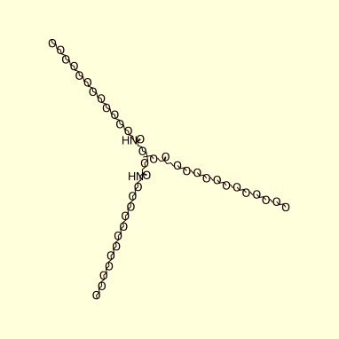 COCCOCCOCCOCCOCCOCCOCCOCCOCCOCCOCCOCCCC(=O)CCOCC(C)(COCCC(=O)NCCOCCOCCOCCOCCOCCOCCOCCOCCOCCOCCOCCOC)COCCC(=O)NCCOCCOCCOCCOCCOCCOCCOCCOCCOCCOCCOCCOC